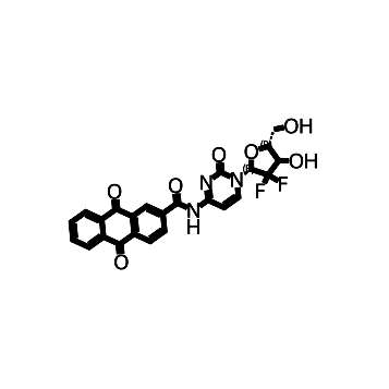 O=C(Nc1ccn([C@@H]2O[C@H](CO)C(O)C2(F)F)c(=O)n1)c1ccc2c(c1)C(=O)c1ccccc1C2=O